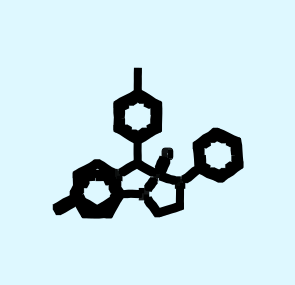 C=C1CCN(C(c2ccc(C)cc2)P2(=O)N(c3ccccc3)CCN2c2ccccc2)CC1